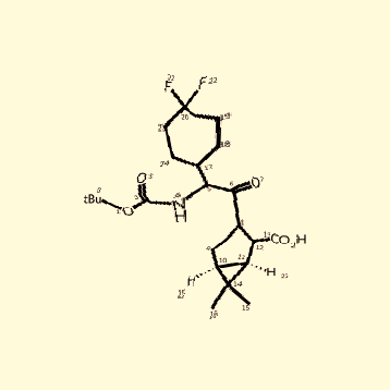 CC(C)(C)OC(=O)NC(C(=O)C1C[C@H]2[C@@H](C1C(=O)O)C2(C)C)C1CCC(F)(F)CC1